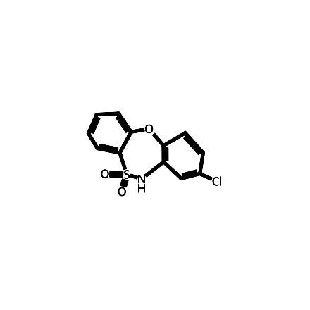 O=S1(=O)Nc2cc(Cl)ccc2Oc2ccccc21